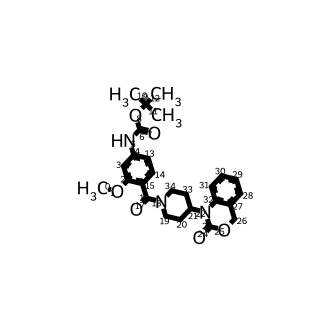 COc1cc(NC(=O)OC(C)(C)C)ccc1C(=O)N1CCC(N2C(=O)OCc3ccccc32)CC1